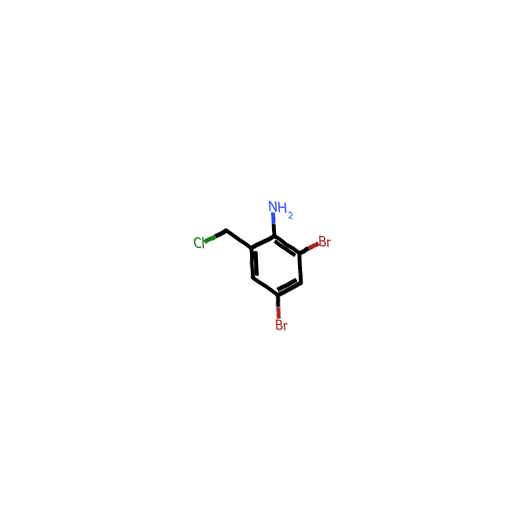 Nc1c(Br)cc(Br)cc1CCl